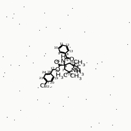 CC1(C)CC(NC(=O)c2ccccc2)(C(=O)OCc2ccc(Cl)cc2)CC(C)(C)N1